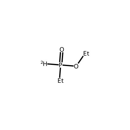 [2H]P(=O)(CC)OCC